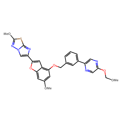 COCOc1cnc(-c2cccc(COc3cc(OC)cc4oc(-c5cn6nc(OC)sc6n5)cc34)c2)cn1